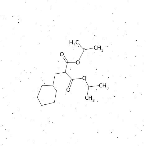 CC(C)OC(=O)C(CC1CCCCC1)C(=O)OC(C)C